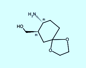 N[C@@H]1CCC2(C[C@H]1CO)OCCO2